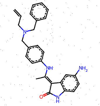 C=CCN(Cc1ccccc1)Cc1ccc(NC(C)=C2C(=O)Nc3ccc(N)cc32)cc1